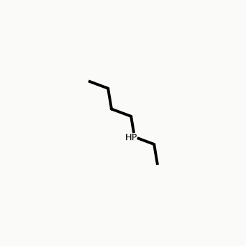 CCCCPCC